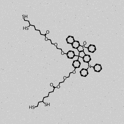 O=C(CCCCC(S)CCS)OCCOCCOc1ccc(C2(c3ccc(OCCOCCOC(=O)CCCCC(S)CCS)cc3)C3=C(c4ccc(N(c5ccccc5)c5ccccc5)cc42)P(=O)(c2ccccc2)c2cc4ccccc4cc23)cc1